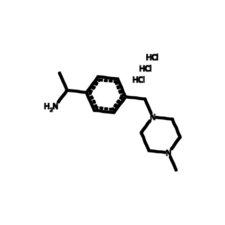 CC(N)c1ccc(CN2CCN(C)CC2)cc1.Cl.Cl.Cl